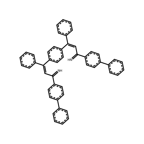 N=C(/C=C(/c1ccccc1)c1ccc(/C(=C\C(=N)c2ccc(-c3ccccc3)cc2)c2ccccc2)cc1)c1ccc(-c2ccccc2)cc1